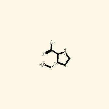 CC[C@H]1CCNC1C(=O)O